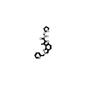 Cc1c(C(=O)NC[C@@H]2CCCO2)oc2ccc3cn(Cc4ccccn4)nc3c12